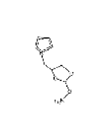 NOC1OCC(Cn2cccc2)O1